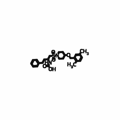 Cc1ccc(C)c(COC2CCN(S(=O)(=O)CC(CCc3ccccc3)NC(=O)O)CC2)c1